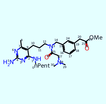 CCCCCNc1nc(N)nc(C)c1CCCN(Cc1cccc(CC(=O)OC)c1)C(=O)CN(C)C